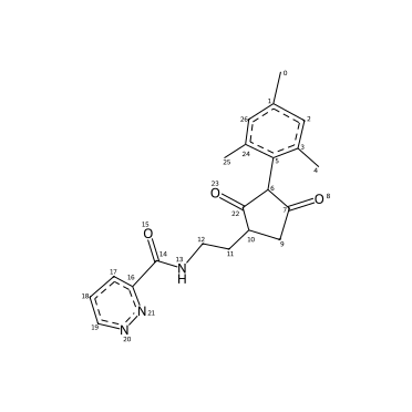 Cc1cc(C)c(C2C(=O)CC(CCNC(=O)c3cccnn3)C2=O)c(C)c1